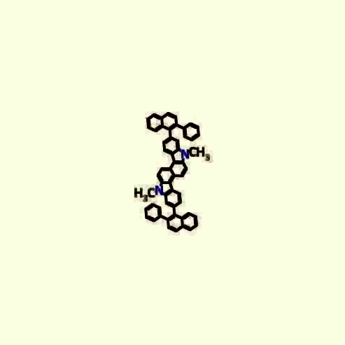 Cn1c2cc(-c3c(-c4ccccc4)ccc4ccccc34)ccc2c2c3ccc4c(c3ccc21)c1ccc(-c2c(-c3ccccc3)ccc3ccccc23)cc1n4C